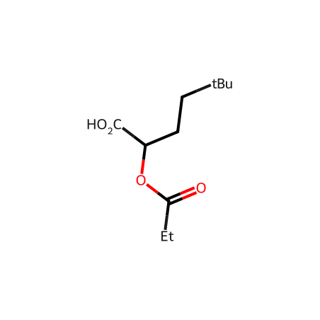 CCC(=O)OC(CCC(C)(C)C)C(=O)O